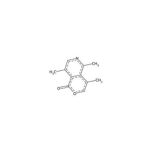 Cc1coc(=O)c2c(C)cnc(C)c12